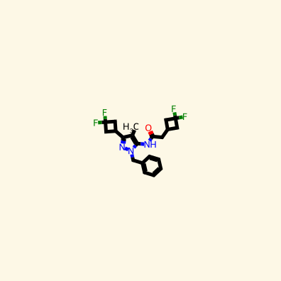 Cc1c(C2CC(F)(F)C2)nn(Cc2ccccc2)c1NC(=O)CC1CC(F)(F)C1